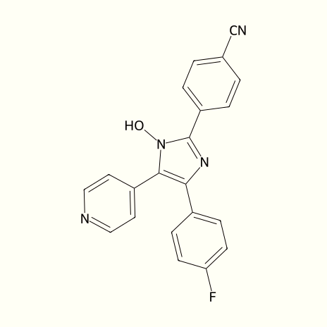 N#Cc1ccc(-c2nc(-c3ccc(F)cc3)c(-c3ccncc3)n2O)cc1